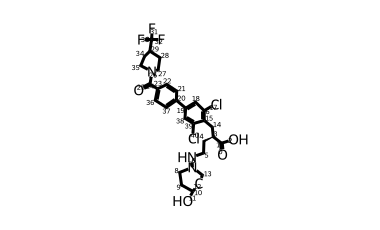 O=C(O)[C@@H](CCNN1CCC(O)CC1)Cc1c(Cl)cc(-c2ccc(C(=O)N3CCC(C(F)(F)F)CC3)cc2)cc1Cl